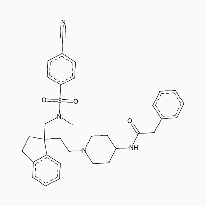 CN(CC1(CCN2CCC(NC(=O)Cc3ccccc3)CC2)CCc2ccccc21)S(=O)(=O)c1ccc(C#N)cc1